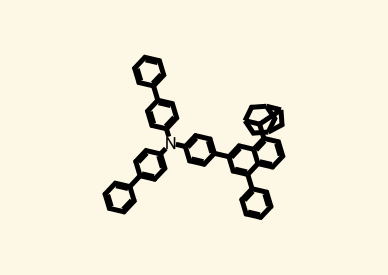 c1ccc(-c2ccc(N(c3ccc(-c4ccccc4)cc3)c3ccc(-c4cc(-c5ccccc5)c5cccc(C6C7CC8CC(C7)C6C8)c5c4)cc3)cc2)cc1